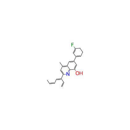 C=C/C(=C\C=C/C)c1cc(C)c2cc(C3=CCCC(F)=C3)cc(O)c2n1